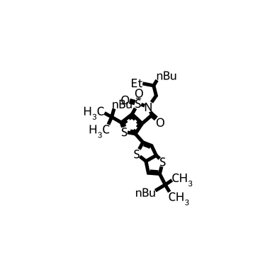 CCCCC(CC)CN1C(=O)c2c(C3=CC4SC(C(C)(C)CCCC)=CC4S3)sc(C(C)(C)CCCC)c2S1(=O)=O